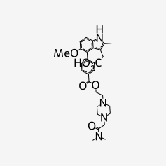 COc1ccc2[nH]c(C)c(CC(=O)O)c2c1-c1ccc(C(=O)OCCN2CCN(CC(=O)N(C)C)CC2)cc1